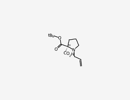 C=CCN1CCC[C@]1(C(=O)O)C(=O)OC(C)(C)C